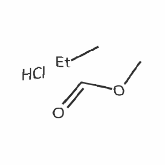 CCC.COC=O.Cl